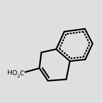 O=C(O)C1=CCc2ccccc2C1